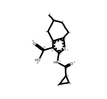 CC1CCc2sc(NC(=O)C3CC3)c(C(=O)O)c2C1